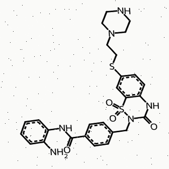 Nc1ccccc1NC(=O)c1ccc(CN2C(=O)Nc3ccc(SCCN4CCNCC4)cc3S2(=O)=O)cc1